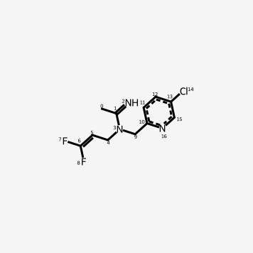 CC(=N)N(CC=C(F)F)Cc1ccc(Cl)cn1